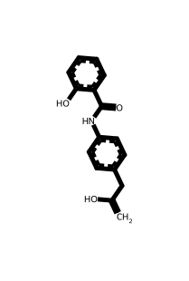 C=C(O)Cc1ccc(NC(=O)c2ccccc2O)cc1